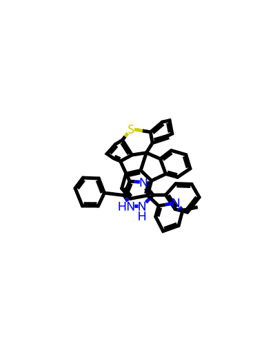 Cc1cccc(-c2cccc3c2-c2ccccc2C32c3ccccc3Sc3cccc(C4=C(c5ccccc5)NNC(c5ccccc5)=N4)c32)n1